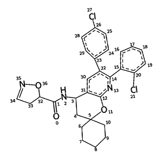 O=C(NC1CC2(CCCCC2)Oc2nc(-c3ccccc3Cl)c(-c3ccc(Cl)cc3)cc21)C1CC=NO1